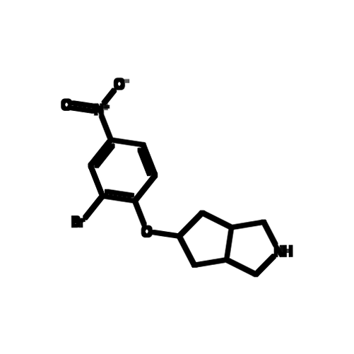 O=[N+]([O-])c1ccc(OC2CC3CNCC3C2)c(Br)c1